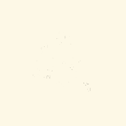 CNCc1cn(S(=O)(=O)c2cccc(OC(F)(F)F)c2)c2cc(Nc3ccc(OC)cc3Cl)ccc12